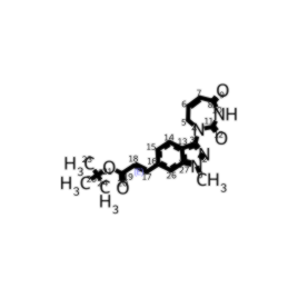 Cn1nc(N2CC=CC(=O)NC2=O)c2ccc(/C=C/C(=O)OC(C)(C)C)cc21